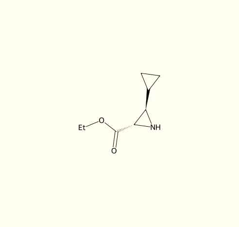 CCOC(=O)[C@H]1N[C@@H]1C1CC1